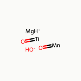 [MgH+].[OH-].[O]=[Mn].[O]=[Ti]